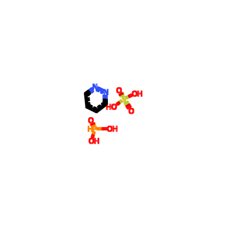 O=S(=O)(O)O.O=[PH](O)O.c1ccnnc1